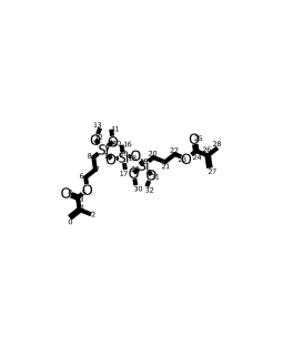 C=C(C)C(=O)OCCC[Si](OC)(OC)O[Si](C)(C)O[Si](CCCOC(=O)C(=C)C)(OC)OC